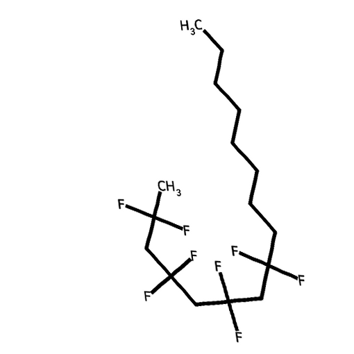 CCCCCCCCC(F)(F)CC(F)(F)CC(F)(F)CC(C)(F)F